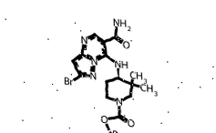 CC(C)(C)OC(=O)N1CC[C@@H](Nc2c(C(N)=O)cnc3cc(Br)nn23)C(C)(C)C1